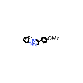 CCCn1cc(-c2ccc(OC)cc2)cn/c1=N/c1ccccc1